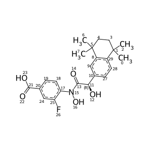 CC1(C)CCC(C)(C)c2cc([C@@H](O)C(=O)N(O)c3ccc(C(=O)O)cc3F)ccc21